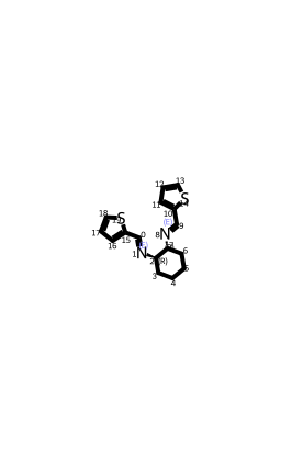 C(=N\[C@@H]1CCCC[C@H]1/N=C/c1cccs1)/c1cccs1